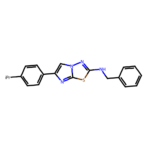 CC(C)c1ccc(-c2cn3nc(NCc4ccccc4)sc3n2)cc1